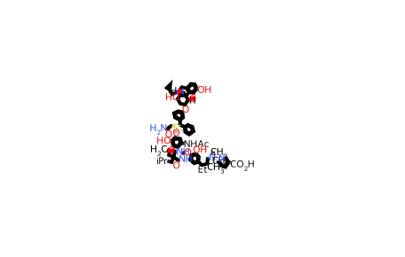 C=CCC1(CC(C)C)C(=O)NC(=O)NC1=O.CC(=O)Nc1ccc(O)cc1.CC[C@@H](c1cccc(O)c1)[C@@H](C)CN(C)C.NC(=O)C[S+]([O-])C(c1ccccc1)c1ccccc1.O=C(O)c1cccnc1.O=C1CC[C@@]2(O)[C@H]3Cc4ccc(O)c5c4[C@@]2(CCN3CC2CC2)[C@H]1O5